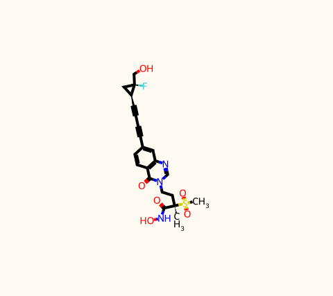 C[C@@](CCn1cnc2cc(C#CC#C[C@H]3C[C@]3(F)CO)ccc2c1=O)(C(=O)NO)S(C)(=O)=O